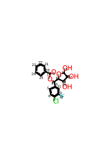 O=C(O[C@H](c1ccc(Cl)c(F)c1)[C@H]1OC(O)[C@H](O)[C@@H]1O)c1ccccc1